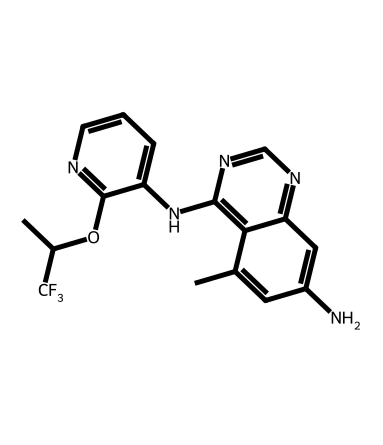 Cc1cc(N)cc2ncnc(Nc3cccnc3OC(C)C(F)(F)F)c12